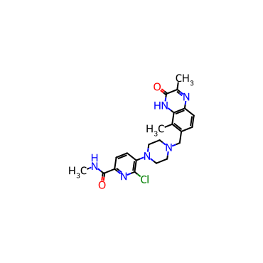 CNC(=O)c1ccc(N2CCN(Cc3ccc4nc(C)c(=O)[nH]c4c3C)CC2)c(Cl)n1